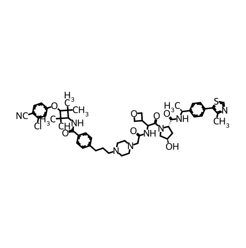 Cc1ncsc1-c1ccc([C@H](C)NC(=O)[C@@H]2C[C@@H](O)CN2C(=O)C(NC(=O)CN2CCN(CCCc3ccc(C(=O)NC4C(C)(C)C(Oc5ccc(C#N)c(Cl)c5)C4(C)C)cc3)CC2)C2COC2)cc1